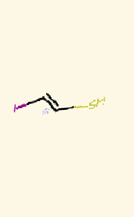 S/C=C/I